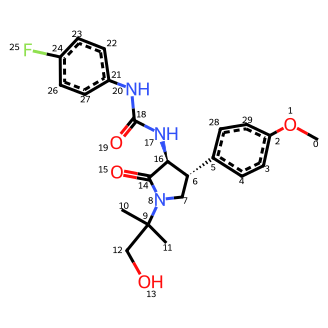 COc1ccc([C@@H]2CN(C(C)(C)CO)C(=O)[C@H]2NC(=O)Nc2ccc(F)cc2)cc1